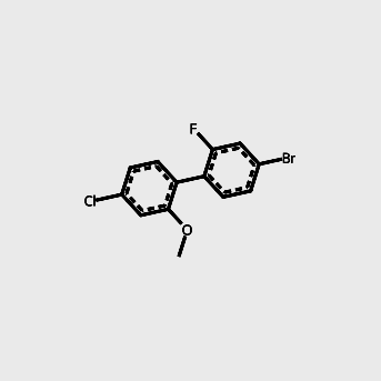 COc1cc(Cl)ccc1-c1ccc(Br)cc1F